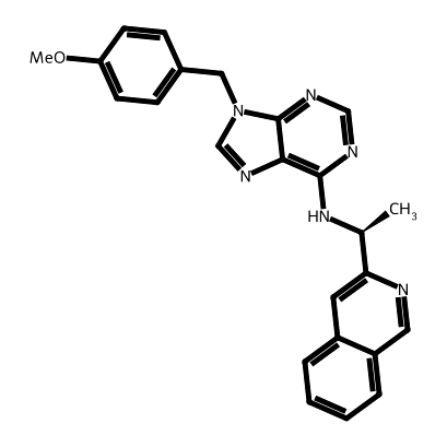 COc1ccc(Cn2cnc3c(N[C@@H](C)c4cc5ccccc5cn4)ncnc32)cc1